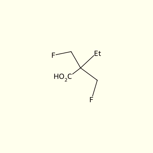 CCC(CF)(CF)C(=O)O